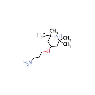 CC1(C)CC(OCCCN)CC(C)(C)N1